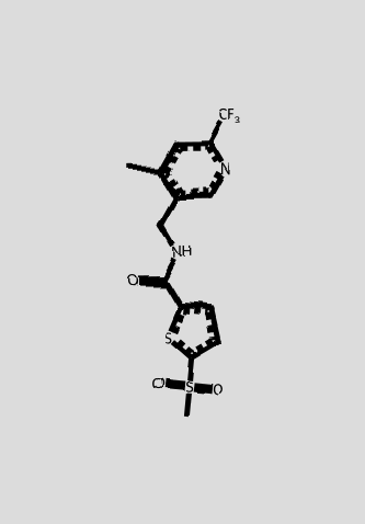 Cc1cc(C(F)(F)F)ncc1CNC(=O)c1ccc(S(C)(=O)=O)s1